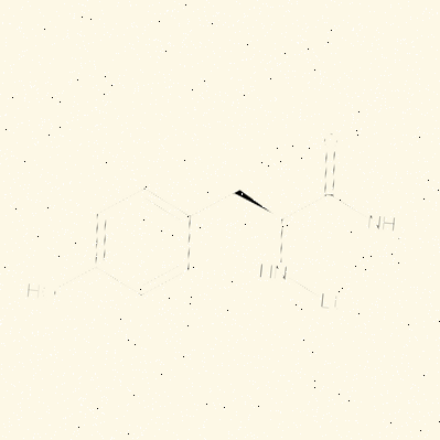 CCN[C@@H](Cc1ccc(O)cc1)C(N)=O